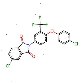 O=C1c2ccc(Cl)cc2C(=O)N1c1ccc(Oc2ccc(Cl)cc2)c(C(F)(F)F)c1